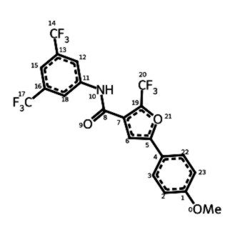 COc1ccc(-c2cc(C(=O)Nc3cc(C(F)(F)F)cc(C(F)(F)F)c3)c(C(F)(F)F)o2)cc1